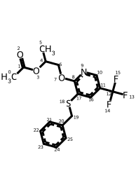 CC(=O)OC(C)COc1ncc(C(F)(F)F)cc1SCc1ccccc1